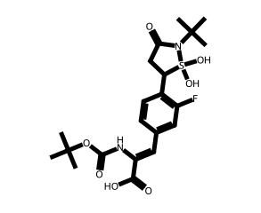 CC(C)(C)OC(=O)NC(=Cc1ccc(C2CC(=O)N(C(C)(C)C)S2(O)O)c(F)c1)C(=O)O